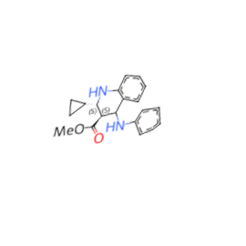 COC(=O)[C@@H]1C(Nc2ccccc2)c2ccccc2N[C@H]1C1CC1